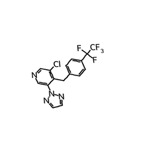 FC(F)(F)C(F)(F)c1ccc(Cc2c(Cl)cncc2-n2nccn2)cc1